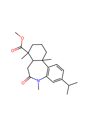 COC(=O)C1(C)CCCC2(C)c3ccc(C(C)C)cc3N(C)C(=O)CC12